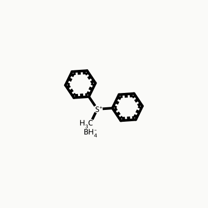 C[S+](c1ccccc1)c1ccccc1.[BH4-]